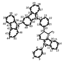 CC1c2c(n(-c3ccccc3)c3ccccc23)C=CC1c1cccc(-n2c3ccccc3c3cc(-n4c5ccccc5c5ccccc54)ccc32)c1